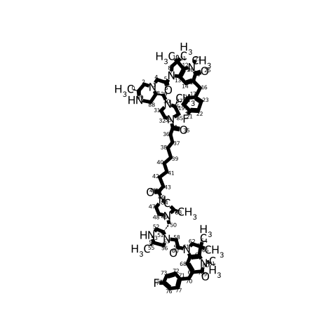 C[C@@H]1CN(CC(=O)N2CC(C)(C)c3c2cc(Cc2ccc(F)cc2)c(=O)n3C)[C@@H](CN2CCN(C(=O)CCCCCCCCC(=O)N3CCN(C[C@H]4CN[C@H](C)CN4CC(=O)N4CC(C)(C)c5c4cc(Cc4ccc(F)cc4)c(=O)n5C)[C@H](C)C3)C[C@H]2C)CN1